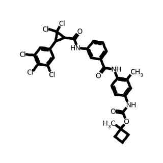 Cc1cc(NC(=O)OC2(C)CCC2)ccc1NC(=O)c1cccc(NC(=O)C2C(c3cc(Cl)c(Cl)c(Cl)c3)C2(Cl)Cl)c1